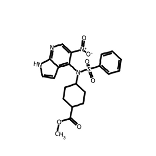 COC(=O)C1CCC(N(c2c([N+](=O)[O-])cnc3[nH]ccc23)S(=O)(=O)c2ccccc2)CC1